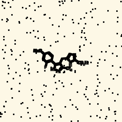 CCOC(=O)c1ncc(Cc2c(C(F)(F)F)n[nH]c2-c2ccc(OC)cc2F)[nH]1